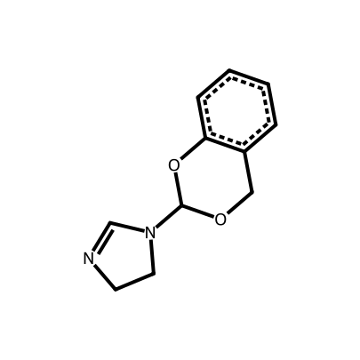 C1=NCCN1C1OCc2ccccc2O1